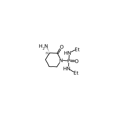 CCNP(=O)(NCC)N1CCC[C@H](N)C1=O